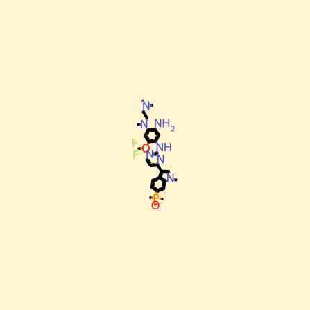 CN(C)CCN(C)c1cc(OC(F)F)c(Nc2nccc(-c3cn(C)c4cc(P(C)(C)=O)ccc34)n2)cc1N